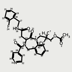 CC(=O)OCC(C)(C)CN1C(=O)C(CC(=O)NCc2ccccc2F)N(C(=O)c2ccncc2)Cc2ccccc21